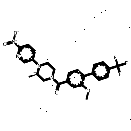 COc1cc(C(=O)N2CCN(c3ccc([N+](=O)[O-])nc3)[C@H](C)C2)ccc1-c1ccc(C(F)(F)F)cc1